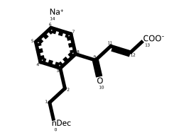 CCCCCCCCCCCCc1ccccc1C(=O)C=CC(=O)[O-].[Na+]